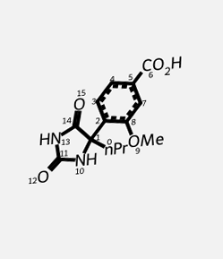 CCCC1(c2ccc(C(=O)O)cc2OC)NC(=O)NC1=O